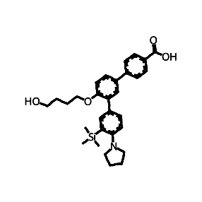 C[Si](C)(C)c1cc(-c2cc(-c3ccc(C(=O)O)cc3)ccc2OCCCCO)ccc1N1CCCC1